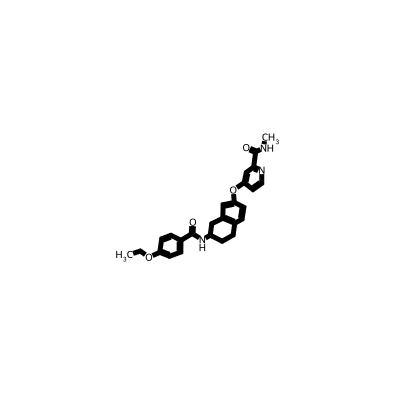 CCOc1ccc(C(=O)NC2CCc3ccc(Oc4ccnc(C(=O)NC)c4)cc3C2)cc1